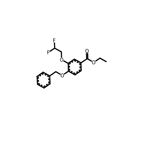 CCOC(=O)c1ccc(OCc2ccccc2)c(OCC(F)F)c1